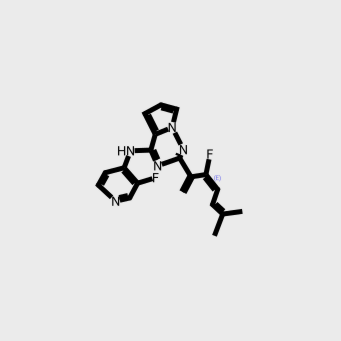 C=C(/C(F)=C\C=C(C)C)c1nc(Nc2ccncc2F)c2cccn2n1